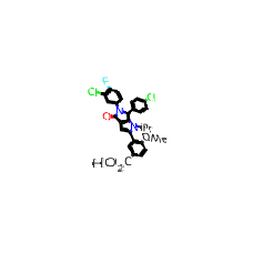 COc1ccc(C(=O)O)cc1-c1cc2c(n1C(C)C)C(c1ccc(Cl)cc1)N(c1ccc(F)c(Cl)c1)C2=O